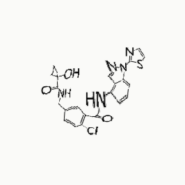 O=C(Nc1cccc2c1cnn2-c1nccs1)c1cc(CNC(=O)C2(O)CC2)ccc1Cl